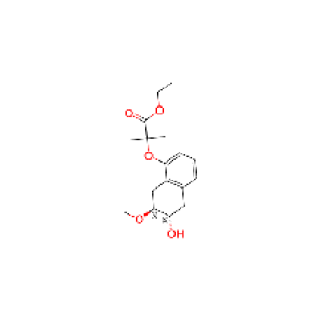 CCOC(=O)C(C)(C)Oc1cccc2c1C[C@H](OC)[C@@H](O)C2